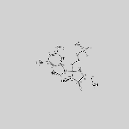 CC(C)(C)[Si](C)(C)OCCC1(n2cnc3c(N)nc(N)nc32)O[C@H](CO)[C@@H](O)[C@H]1O